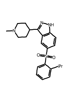 CC(C)c1ccccc1S(=O)(=O)c1ccc2[nH]nc(C3CCN(C)CC3)c2c1